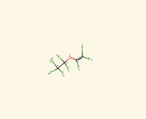 FC(F)=C(F)OC(F)(F)C(F)(F)Cl